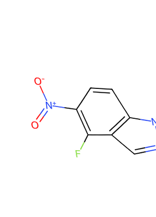 O=[N+]([O-])c1ccc2[nH]ncc2c1F